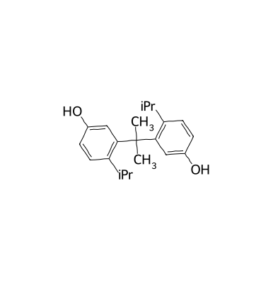 CC(C)c1ccc(O)cc1C(C)(C)c1cc(O)ccc1C(C)C